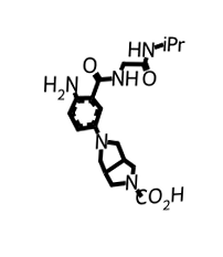 CC(C)NC(=O)CNC(=O)c1cc(N2CC3CN(C(=O)O)CC3C2)ccc1N